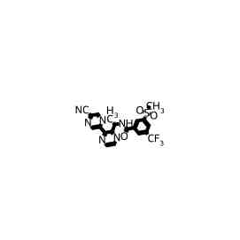 CC(NC(=O)c1cc(C(F)(F)F)cc(S(C)(=O)=O)c1)c1nccnc1-c1cnc(C#N)cn1